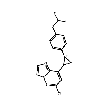 FC(F)Oc1ccc([C@H]2CC2c2cc(Cl)nn3ccnc23)cc1